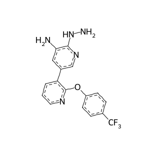 NNc1ncc(-c2cccnc2Oc2ccc(C(F)(F)F)cc2)cc1N